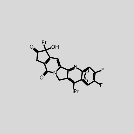 CCC1(O)C(=O)Cc2c1cc1n(c2=O)Cc2c-1nc1c3c(F)c(F)c(c1c2C(C)C)OCO3